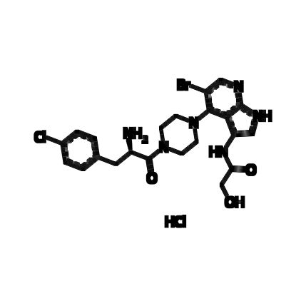 Cl.N[C@H](Cc1ccc(Cl)cc1)C(=O)N1CCN(c2c(Br)cnc3[nH]cc(NC(=O)CO)c23)CC1